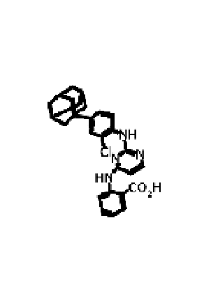 O=C(O)c1ccccc1Nc1ccnc(Nc2ccc(C34CC5CC(CC(C5)C3)C4)cc2Cl)n1